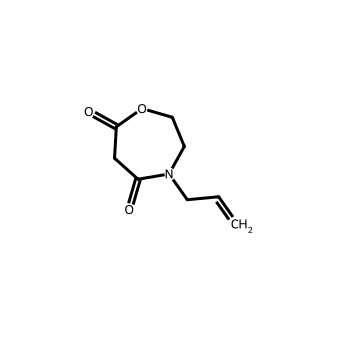 C=CCN1CCOC(=O)CC1=O